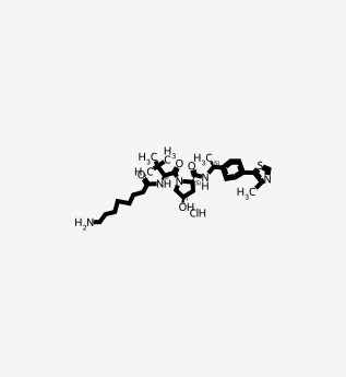 Cc1ncsc1-c1ccc([C@H](C)NC(=O)[C@@H]2C[C@@H](O)CN2C(=O)[C@@H](NC(=O)CCCCCCCN)C(C)(C)C)cc1.Cl